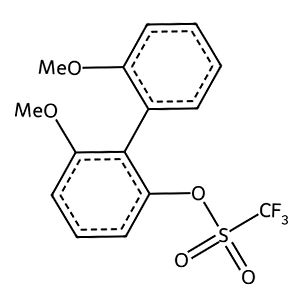 COc1ccccc1-c1c(OC)cccc1OS(=O)(=O)C(F)(F)F